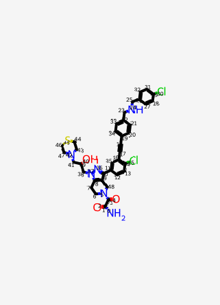 NC(=O)C(=O)N1CCc2c(c(-c3ccc(Cl)c(C#Cc4ccc(CNCc5ccc(Cl)cc5)cc4)c3)nn2CC(O)CN2CCSCC2)C1